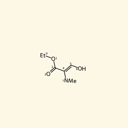 CCOC(=O)C(=CO)NC